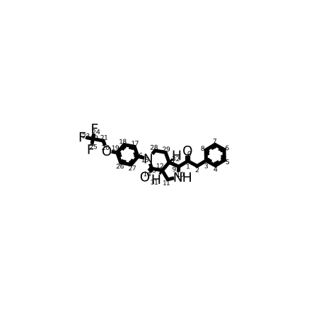 O=C(Cc1ccccc1)C1NC[C@@H]2C(=O)N(c3ccc(OCC(F)(F)F)cc3)CC[C@H]12